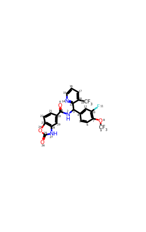 O=C(NC(c1ccc(OC(F)(F)F)c(F)c1)c1ncccc1C(F)(F)F)c1ccc2oc(=O)[nH]c2c1